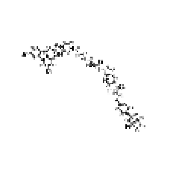 O=C(Cn1ccc2cc(C(=O)NCCc3ccc(N4C[C@H]5CC[C@@H](C4)N5)cc3)cnc21)NCCCCCN1CCN(C[C@H](O)Cn2c3ccc(Br)cc3c3cc(Br)ccc32)CC1